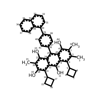 Cc1c(C)c(C2CCC2)c2c(O)c3c(C4CCC4)c(O)c(C)c(O)c3c(-c3ccc(-c4cccc5ccccc45)cc3)c2c1O